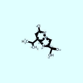 CC(C)c1cc(Cl)nn2cc(C(=O)O)nc12